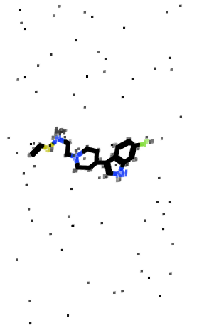 C=CSN(CCC)CCN1CCC(c2c[nH]c3cc(F)ccc23)CC1